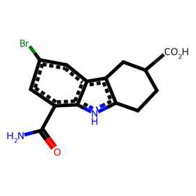 NC(=O)c1cc(Br)cc2c3c([nH]c12)CCC(C(=O)O)C3